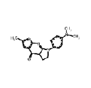 Cc1cc2c(s1)N=C1C(CCN1c1ccc(N(C)C)cc1)C2=O